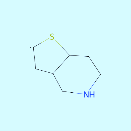 [CH]1CC2CNCCC2S1